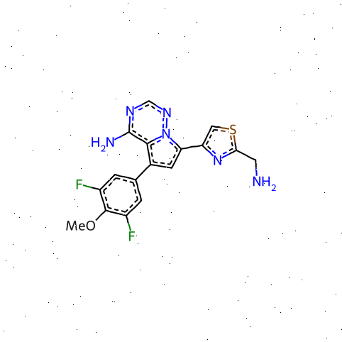 COc1c(F)cc(-c2cc(-c3csc(CN)n3)n3ncnc(N)c23)cc1F